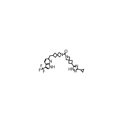 O=C(N1CC2(CC(Cc3ccc4c(C(F)(F)F)c[nH]c4n3)C2)C1)N1CC2(CC(c3nc(C4CC4)n[nH]3)C2)C1